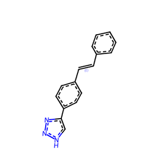 C(=C\c1ccc(-c2c[nH]nn2)cc1)/c1ccccc1